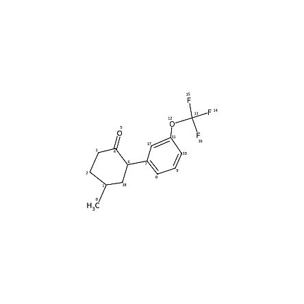 CC1CCC(=O)C(c2cccc(OC(F)(F)F)c2)C1